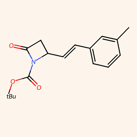 Cc1cccc(/C=C/C2CC(=O)N2C(=O)OC(C)(C)C)c1